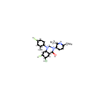 COc1ccc(N2CN(c3ccc(F)cc3C(C)C)c3cc(F)c(Cl)cc3C2=O)c(C)n1